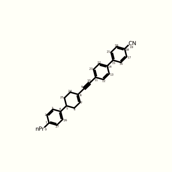 CCCc1ccc(C2CC=C(C#Cc3ccc(-c4ccc(C#N)cc4)cc3)CC2)cc1